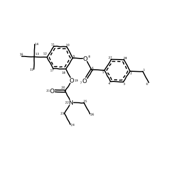 CCc1ccc(C(=O)Oc2ccc(C(C)(C)C)cc2OC(=O)N(CC)CC)cc1